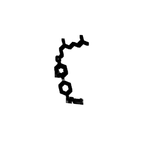 CCCCC[C@H]1CC[C@H](c2ccc(OCC[C@@H](C)CCC=C(C)C)cn2)CC1